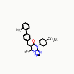 CCCc1c(Cc2ccc(-c3ccccc3C#N)cc2)c(=O)n([C@H]2CC[C@H](C(=O)OCC)CC2)c2ncnn12